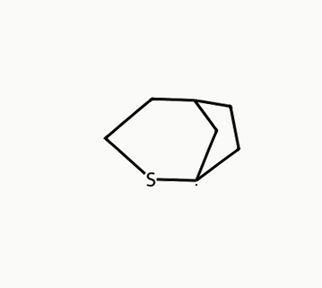 C1CC2CC[C](C2)S1